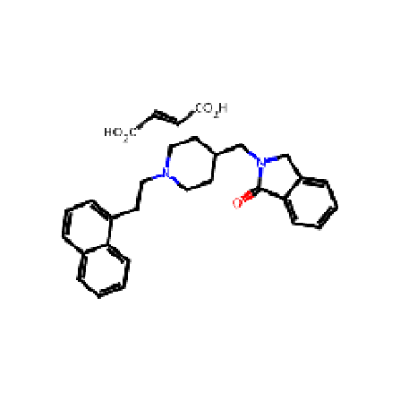 O=C(O)C=CC(=O)O.O=C1c2ccccc2CN1CC1CCN(CCc2cccc3ccccc23)CC1